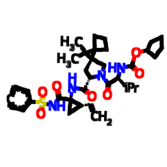 C=C[C@@H]1C[C@]1(NC(=O)[C@@H]1C[C@@]2(CN1C(=O)[C@@H](NC(=O)OC1CCCC1)C(C)C)C(C)(C)C21CCC1)C(=O)NS(=O)(=O)c1ccccc1